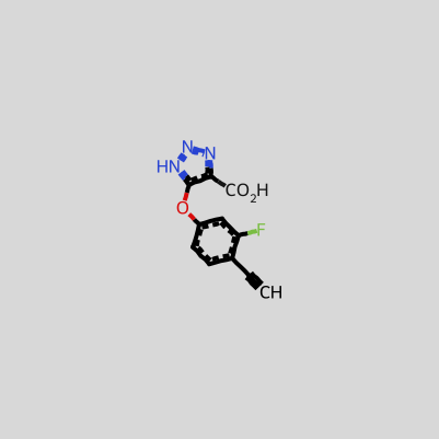 C#Cc1ccc(Oc2[nH]nnc2C(=O)O)cc1F